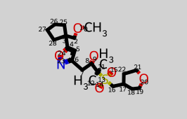 COCC1(c2cc(CC(=O)C(C)(C)S(=O)(=O)CC3CCOCC3)no2)CCCC1